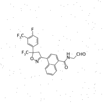 O=CCNC(=O)c1ccc(C2=NOC(c3ccc(F)c(C(F)(F)F)c3)(C(F)(F)F)C2)c2ccccc12